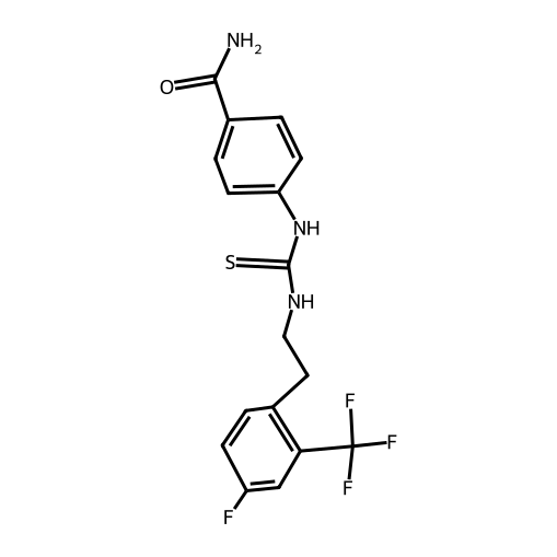 NC(=O)c1ccc(NC(=S)NCCc2ccc(F)cc2C(F)(F)F)cc1